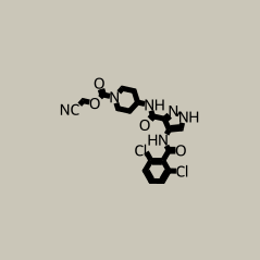 N#CCOC(=O)N1CCC(NC(=O)c2n[nH]cc2NC(=O)c2c(Cl)cccc2Cl)CC1